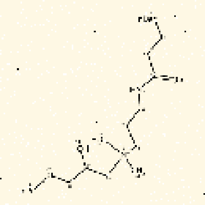 CCCCCCCCCCCCC(=O)NCCC[N+](C)(C)CC(O)COCCC